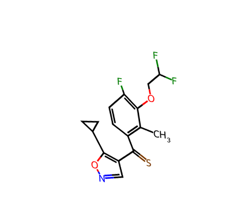 Cc1c(C(=S)c2cnoc2C2CC2)ccc(F)c1OCC(F)F